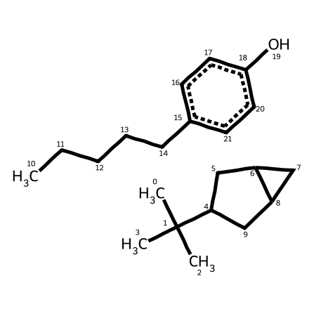 CC(C)(C)C1CC2CC2C1.CCCCCc1ccc(O)cc1